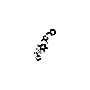 CC1=C(Oc2cc(F)c(S(=O)(=O)Nc3nccs3)c(F)c2C)CN(Cc2ccccc2)C1